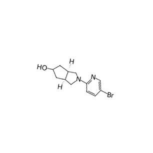 OC1C[C@@H]2CN(c3ccc(Br)cn3)C[C@@H]2C1